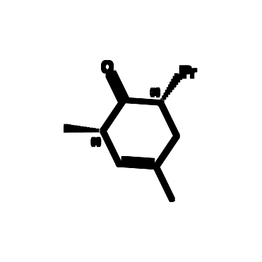 CC1=C[C@H](C)C(=O)[C@H](C(C)C)C1